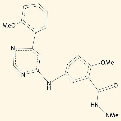 CNNC(=O)c1cc(Nc2cc(-c3ccccc3OC)ncn2)ccc1OC